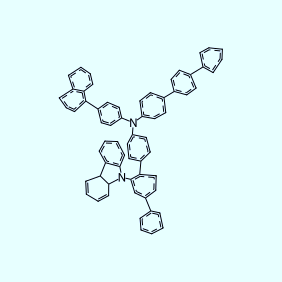 C1=CC2c3ccccc3N(c3cc(-c4ccccc4)ccc3-c3ccc(N(c4ccc(-c5ccc(-c6ccccc6)cc5)cc4)c4ccc(-c5cccc6ccccc56)cc4)cc3)C2C=C1